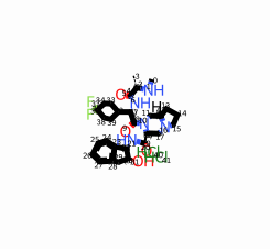 CN[C@@H](C)C(=O)N[C@H](C(=O)N1C[C@H]2CCCN2C[C@H]1C(=O)N[C@H]1c2ccccc2C[C@@H]1O)C1CCC(F)(F)CC1.Cl.Cl